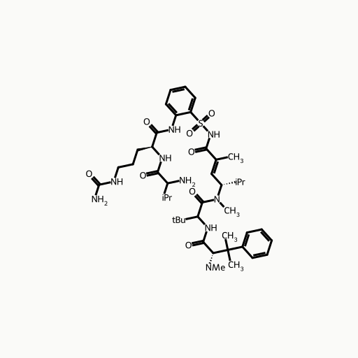 CN[C@H](C(=O)NC(C(=O)N(C)[C@H](/C=C(\C)C(=O)NS(=O)(=O)c1ccccc1NC(=O)[C@H](CCCNC(N)=O)NC(=O)C(N)C(C)C)C(C)C)C(C)(C)C)C(C)(C)c1ccccc1